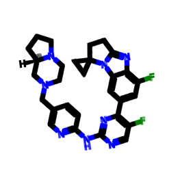 Fc1cnc(Nc2ccc(CN3CCN4CCC[C@H]4C3)cn2)nc1-c1cc(F)c2nc3n(c2c1)C1(CC3)CC1